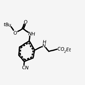 CCOC(=O)CNc1cc(C#N)ccc1NC(=O)OC(C)(C)C